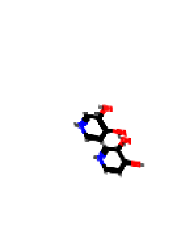 O=C1C=CN=CC1O.Oc1ccncc1O